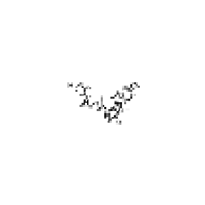 COc1ccc2c(ccc3c2[nH]c2c(C)cnc(NCCCN(C)CCCN)c23)c1